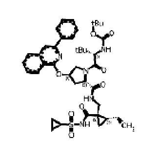 C=C[C@@H]1C[C@]1(CNC(=O)[C@@H]1C[C@@H](Oc2nc(-c3ccccc3)cc3ccccc23)CN1C(=O)[C@@H](NC(=O)OC(C)(C)C)C(C)(C)C)C(=O)NS(=O)(=O)C1CC1